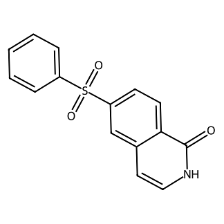 O=c1[nH]ccc2cc(S(=O)(=O)c3ccccc3)ccc12